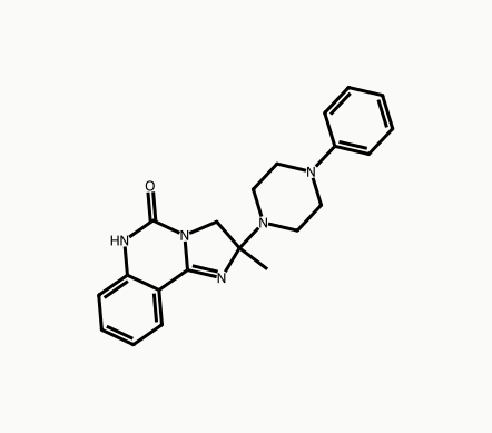 CC1(N2CCN(c3ccccc3)CC2)CN2C(=O)Nc3ccccc3C2=N1